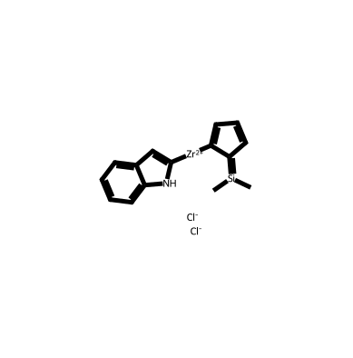 C[Si](C)=C1C=CC=[C]1[Zr+2][c]1cc2ccccc2[nH]1.[Cl-].[Cl-]